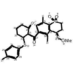 CON=C1CCS(=O)(=O)c2c(C)cc(C(=O)C3C(=O)CCCC3Sc3ccc(C)cc3)c(C)c21